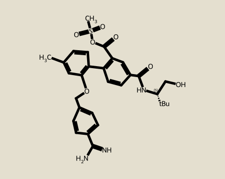 Cc1ccc(-c2ccc(C(=O)N[C@H](CO)C(C)(C)C)cc2C(=O)OS(C)(=O)=O)c(OCc2ccc(C(=N)N)cc2)c1